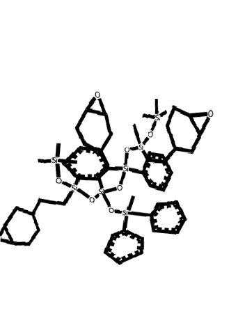 C[Si](C)(C)O[Si](C)(CCC1CCC2OC2C1)O[Si](CCC1CCC2OC2C1)(O[Si](C)(c1ccccc1)c1ccccc1)O[Si](O[Si](C)(CCC1CCC2OC2C1)O[Si](C)(C)C)(c1ccccc1)c1ccccc1